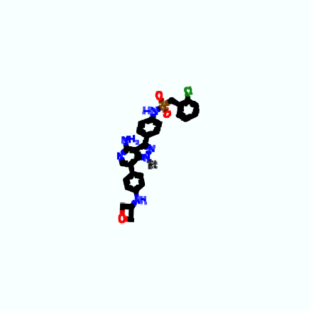 CCn1nc(-c2ccc(NS(=O)(=O)Cc3ccccc3Cl)cc2)c2c(N)ncc(-c3ccc(NC4COC4)cc3)c21